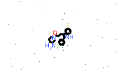 NC1CCCN(C(=O)CCc2c(-c3ccc(F)cc3)[nH]c3ccc(F)cc23)C1